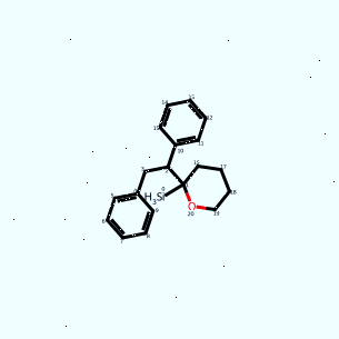 [SiH3]C1(C(Cc2ccccc2)c2ccccc2)CCCCO1